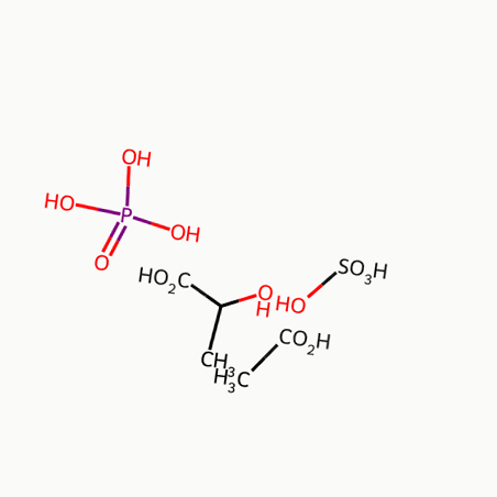 CC(=O)O.CC(O)C(=O)O.O=P(O)(O)O.O=S(=O)(O)O